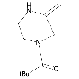 C=C1CN(C(=O)C(C)(C)C)CCN1